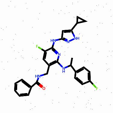 CC(Nc1nc(Nc2cc(C3CC3)[nH]n2)c(F)cc1CNC(=O)c1ccccc1)c1ccc(F)cc1